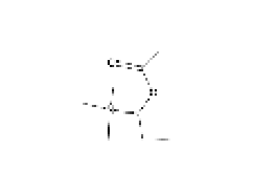 CCC(OC(C)=O)[N+](C)(C)C